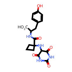 O=C1NC(=O)C(NC2(C(=O)NC(Cc3ccc(O)cc3)C(=O)O)CCC2)C(=O)N1